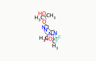 C[C@H]1Cn2nc(OCC(C)(C)O)cc2-c2cnc([C@@](C)(O)C(F)(F)F)n21